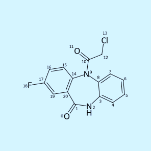 O=C1Nc2ccccc2N(C(=O)CCl)c2ccc(F)cc21